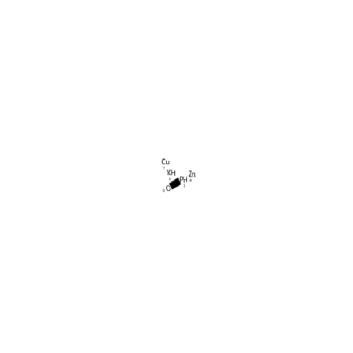 O=P.[Cu].[KH].[Zn]